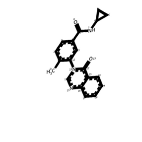 Cc1ccc(C(=O)NC2CC2)cc1-n1cnc2ccccc2c1=O